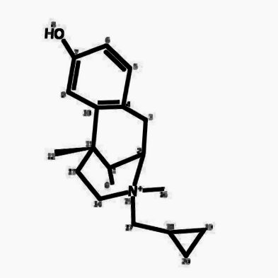 CC1C2Cc3ccc(O)cc3[C@@]1(C)CC[N+]2(C)CC1CC1